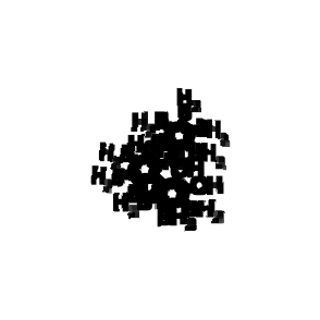 Bc1c(B)c(B)c(Nc2c(O)c(B)c(B)c(B)c2-c2c(B)c(B)c(B)c(O)c2O)c(B)c1B